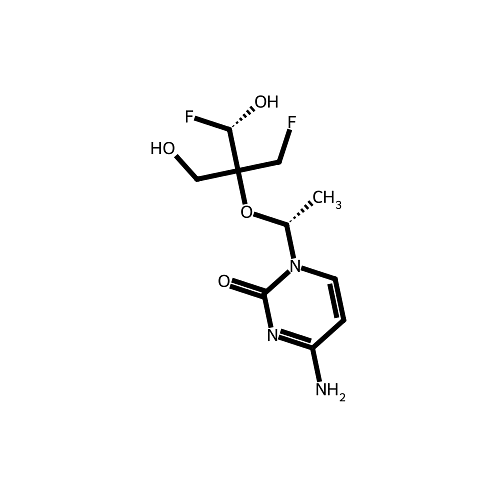 C[C@@H](OC(CO)(CF)[C@@H](O)F)n1ccc(N)nc1=O